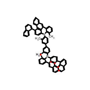 Cc1cc(-c2ccc(N(c3ccc(-c4cccc5ccccc45)cc3)c3c(C)cccc3-c3ccc4ccccc4c3)c(C)c2)ccc1N(c1ccc(-c2cccc3ccccc23)cc1)c1c(C)cccc1-c1ccc2ccccc2c1